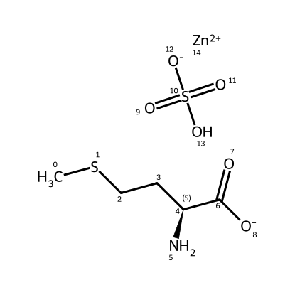 CSCC[C@H](N)C(=O)[O-].O=S(=O)([O-])O.[Zn+2]